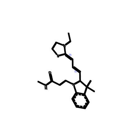 CCN1CCS/C1=C\C=C\C1N(CCC(=O)NC)c2ccccc2C1(C)C